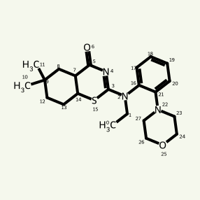 CCN(C1=NC(=O)C2CC(C)(C)CCC2S1)c1ccccc1N1CCOCC1